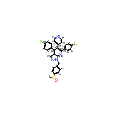 C[S+]([O-])c1ccc(Cn2ncc3c(-c4ccc(F)cc4)c(-c4ccncc4)c(-c4ccc(F)cc4)nc32)cc1